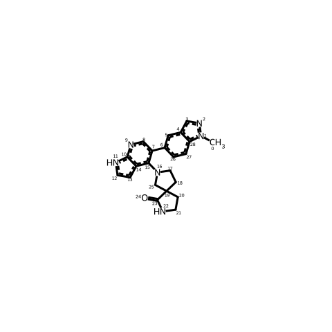 Cn1ncc2cc(-c3cnc4[nH]ccc4c3N3CCC4(CCNC4=O)C3)ccc21